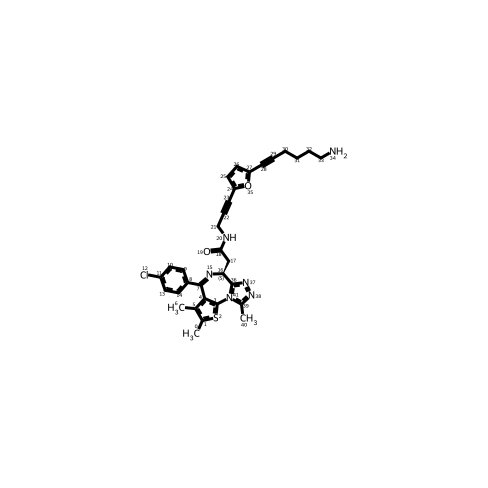 Cc1sc2c(c1C)C(c1ccc(Cl)cc1)=N[C@@H](CC(=O)NCC#Cc1ccc(C#CCCCCN)o1)c1nnc(C)n1-2